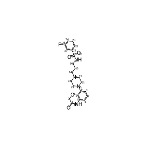 O=C1COc2c(cccc2N2CCN(CCCNS(=O)(=O)c3cccc(F)c3)CC2)N1